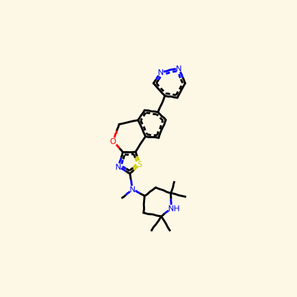 CN(c1nc2c(s1)-c1ccc(-c3ccnnc3)cc1CO2)C1CC(C)(C)NC(C)(C)C1